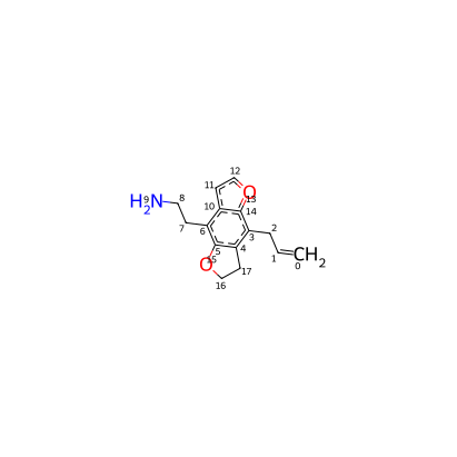 C=CCc1c2c(c(CCN)c3ccoc13)OCC2